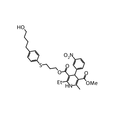 CCC1=C(C(=O)OCCCSc2ccc(CCCCO)cc2)C(c2cccc([N+](=O)[O-])c2)C(C(=O)OC)=C(C)N1